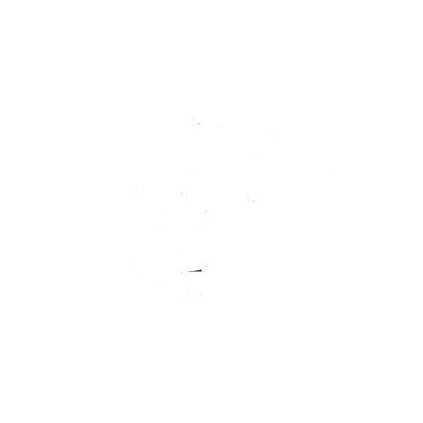 CC[C@@]1(O)C(=O)OCc2c1cc1n(c2=O)Cc2c-1nc1cc(F)c(C)c3c1c2C(N1CCCCC1)CS3